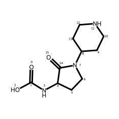 O=C(O)NC1CCN(C2CCNCC2)C1=O